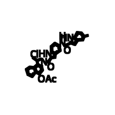 CC(=O)Oc1cc2c(c3ccccc13)C(CCl)CN2C(=O)c1cc2cc(NC(=O)c3cc4cc(C)ccc4[nH]3)ccc2[nH]1